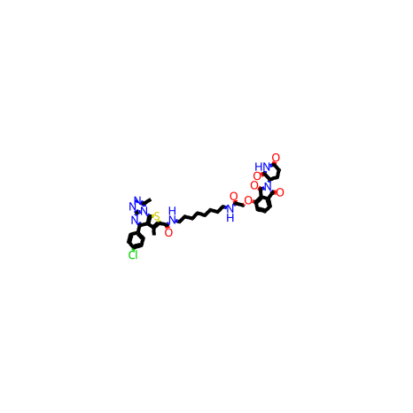 Cc1c(C(=O)NCCCCCCCCNC(=O)COc2cccc3c2C(=O)N(C2CCC(=O)NC2=O)C3=O)sc2c1c(-c1ccc(Cl)cc1)nc1nnc(C)n12